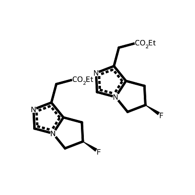 CCOC(=O)Cc1ncn2c1C[C@@H](F)C2.CCOC(=O)Cc1ncn2c1C[C@@H](F)C2